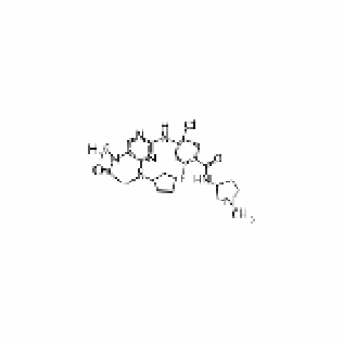 CN1CC[C@@H](NC(=O)c2cc(Cl)c(Nc3ncc4c(n3)N(C3CCCC3)CCC(=O)N4C)cc2F)C1